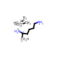 CC(=O)O.CC(=O)O.NCCCCC(N)C(=O)O